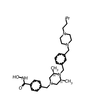 CC(C)CCN1CCN(Cc2cccc(CN3[C@H](C)CN(Cc4ccc(C(=O)NO)cc4)C[C@@H]3C)c2)CC1